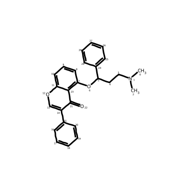 CN(C)CCC(Oc1cccc2occ(-c3ccccc3)c(=O)c12)c1ccccc1